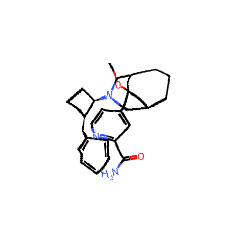 COC1(c2ccnc(C(N)=O)c2)C2CCCC1CN([C@@H]1CC[C@@H]1c1ccccc1)C2